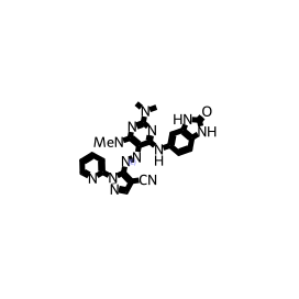 CNc1nc(N(C)C)nc(Nc2ccc3[nH]c(=O)[nH]c3c2)c1/N=N/c1c(C#N)cnn1-c1ccccn1